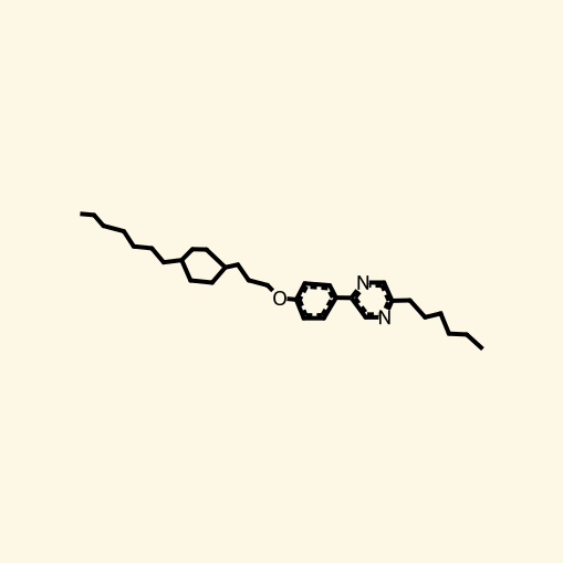 CCCCCCCC1CCC(CCCOc2ccc(-c3cnc(CCCCCC)cn3)cc2)CC1